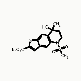 CCOC(=O)c1cc2cc3c(cc2s1)C(C)(C)CCN3S(C)(=O)=O